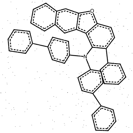 c1ccc(-c2ccc(N(c3ccc(-c4ccccc4)cc3)c3c(-c4ccccc4)ccc4oc5cc6ccccc6cc5c34)cc2)cc1